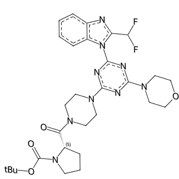 CC(C)(C)OC(=O)N1CCC[C@H]1C(=O)N1CCN(c2nc(N3CCOCC3)nc(-n3c(C(F)F)nc4ccccc43)n2)CC1